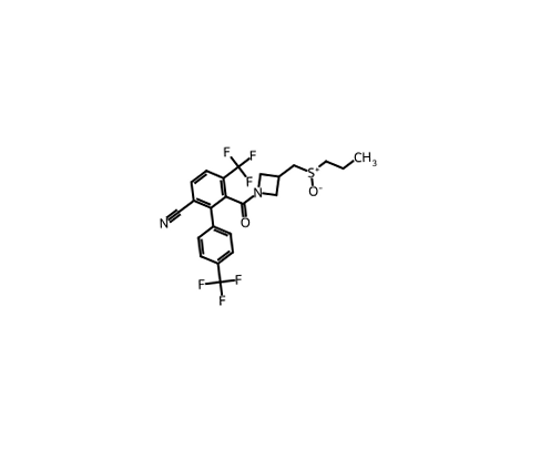 CCC[S+]([O-])CC1CN(C(=O)c2c(C(F)(F)F)ccc(C#N)c2-c2ccc(C(F)(F)F)cc2)C1